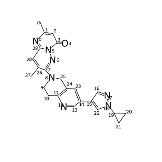 Cc1cc(=O)n2nc(N3CCc4ncc(-c5cnn(C6CC6)c5)cc4C3)c(C)cc2n1